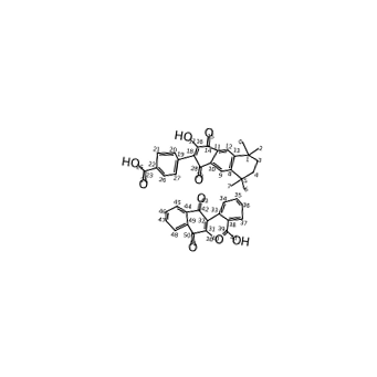 CC1(C)CCC(C)(C)c2cc3c(cc21)C(=O)C(O)=C(c1ccc(C(=O)O)cc1)C3=O.CC1=C(c2ccccc2C(=O)O)C(=O)c2ccccc2C1=O